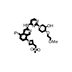 COCCO[C@H]1CCN(c2nccc(Nc3cc4c(C(C)C)ccc(N5CC(CS(C)(=O)=O)C5)c4cn3)n2)C[C@H]1O